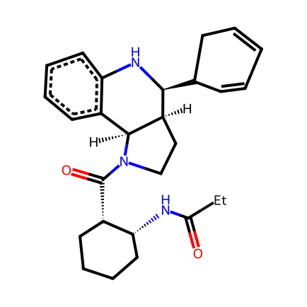 CCC(=O)N[C@@H]1CCCC[C@@H]1C(=O)N1CC[C@@H]2[C@H](C3C=CC=CC3)Nc3ccccc3[C@@H]21